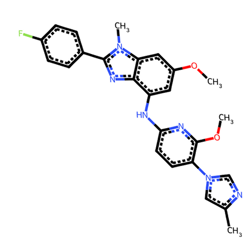 COc1cc(Nc2ccc(-n3cnc(C)c3)c(OC)n2)c2nc(-c3ccc(F)cc3)n(C)c2c1